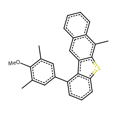 COc1c(C)cc(-c2cccc3sc4c(C)c5ccccc5cc4c23)cc1C